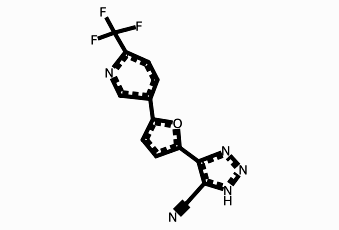 N#Cc1[nH]nnc1-c1ccc(-c2ccc(C(F)(F)F)nc2)o1